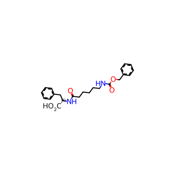 O=C(CCCCCNC(=O)OCc1ccccc1)N[C@@H](Cc1ccccc1)C(=O)O